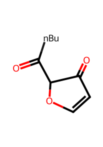 CCCCC(=O)C1OC=CC1=O